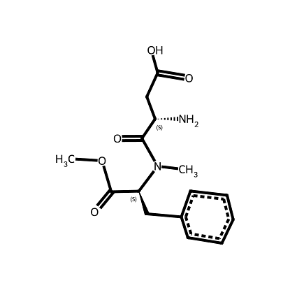 COC(=O)[C@H](Cc1ccccc1)N(C)C(=O)[C@@H](N)CC(=O)O